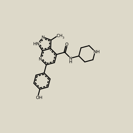 Cc1n[nH]c2nc(-c3ccc(O)cc3)cc(C(=O)NC3CCNCC3)c12